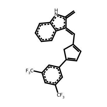 C=c1[nH]c2ccccc2/c1=C\C1=CC=C(c2cc(C(F)(F)F)cc(C(F)(F)F)c2)C1